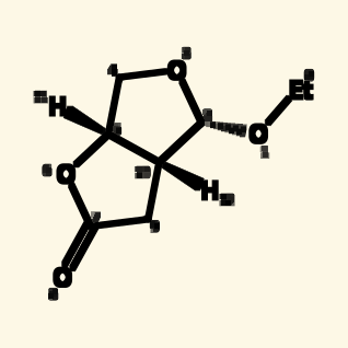 CCO[C@H]1OC[C@H]2OC(=O)C[C@@H]12